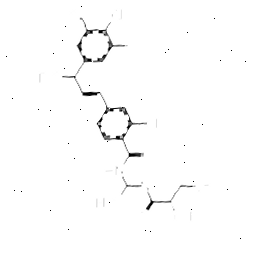 CC(NC(=O)c1ccc(/C=C/C(c2cc(Cl)c(Cl)c(Cl)c2)C(F)(F)F)cc1C(F)(F)F)NC(=O)[C@H](C)CC(F)(F)F